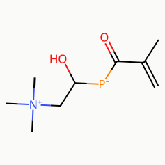 C=C(C)C(=O)[P-]C(O)C[N+](C)(C)C